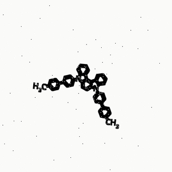 Cc1ccc(-c2ccc(-n3c4ccccc4c4c5c6ccccc6n(-c6ccc(-c7ccc(C)cc7)cc6)c5ccc43)cc2)cc1